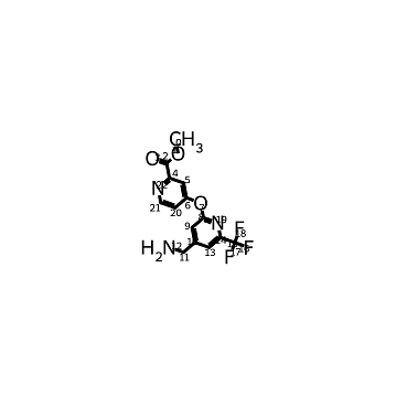 COC(=O)c1cc(Oc2cc(CN)cc(C(F)(F)F)n2)ccn1